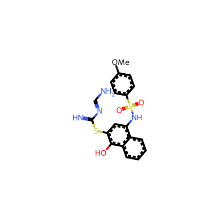 COc1ccc(S(=O)(=O)Nc2cc(SC(=N)/N=C/N)c(O)c3ccccc23)cc1